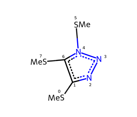 CSc1nnn(SC)c1SC